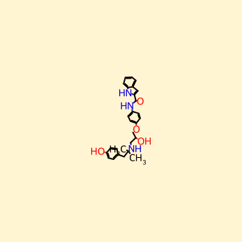 CC(C)(Cc1ccc(O)cc1)NCC(O)COc1ccc(NC(=O)c2cc3ccccc3[nH]2)cc1